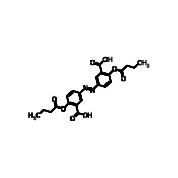 CCCC(=O)Oc1ccc(N=Nc2ccc(OC(=O)CCC)c(C(=O)O)c2)cc1C(=O)O